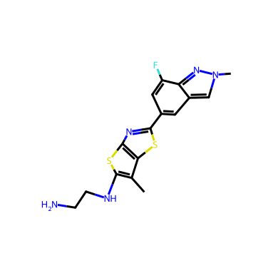 Cc1c(NCCN)sc2nc(-c3cc(F)c4nn(C)cc4c3)sc12